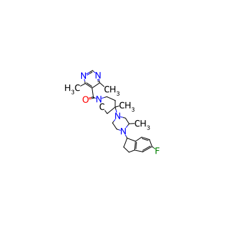 Cc1ncnc(C)c1C(=O)N1CCC(C)(N2CCN(C3CCc4cc(F)ccc43)C(C)C2)CC1